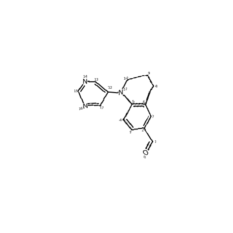 O=Cc1ccc2c(c1)CCCN2c1cncnc1